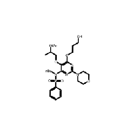 CCCCN(c1nc(N2CCOCC2)nc(OCCCO)c1OCC(C)OC)S(=O)(=O)c1ccccc1